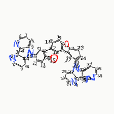 c1cnc2c3ncccc3n(-c3ccc4oc5c(ccc6oc7ccc(-n8c9cccnc9c9ncccc98)cc7c65)c4c3)c2c1